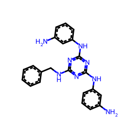 Nc1cccc(Nc2nc(NCc3ccccc3)nc(Nc3cccc(N)c3)n2)c1